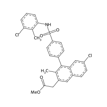 COC(=O)Cc1cc2ccc(Cl)cc2c(-c2ccc(S(=O)(=O)Nc3cccc(Cl)c3C)cc2)c1C